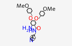 COc1ccc(COc2cc(N)c(C(=O)NCC34CCN(CC3)CC4)cc2OCc2ccc(OC)cc2)cc1